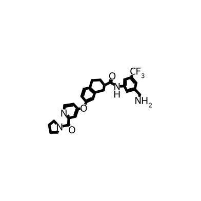 NCc1cc(NC(=O)C2CCc3ccc(Oc4ccnc(C(=O)N5CCCC5)c4)cc3C2)cc(C(F)(F)F)c1